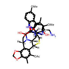 CCN1CC2(O)CC3C=C(C)C(OC)=C(O)C3(C)[C@H]1[C@@H]1[C@@H]3SC[C@]4(N[C@H](CN)Cc5c4[nH]c4ccc(OC)cc54)C(=O)OC[C@@H](c4c5c(c(C)c(OC(C)=O)c43)OCO5)N12